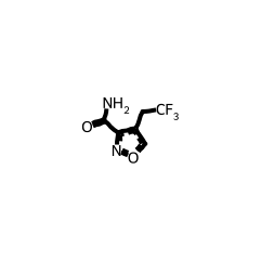 NC(=O)c1nocc1CC(F)(F)F